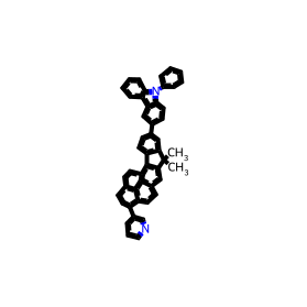 CC1(C)c2cc(-c3ccc4c(c3)c3ccccc3n4-c3ccccc3)ccc2-c2c1cc1ccc3c(-c4cccnc4)ccc4ccc2c1c43